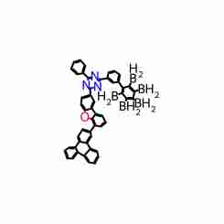 Bc1c(B)c(B)c(-c2cccc(-c3nc(-c4ccccc4)nc(-c4ccc5oc6c(-c7ccc8c9ccccc9c9ccccc9c8c7)cccc6c5c4)n3)c2)c(B)c1B